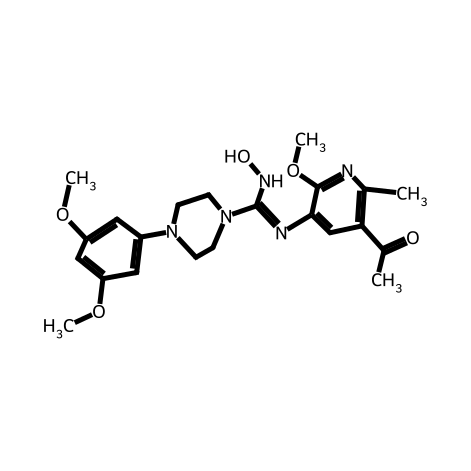 COc1cc(OC)cc(N2CCN(C(=Nc3cc(C(C)=O)c(C)nc3OC)NO)CC2)c1